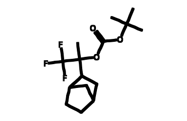 CC(C)(C)OC(=O)OC(C)(C1CC2CCC1C2)C(F)(F)F